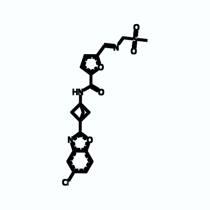 CS(=O)(=O)CN=Cc1ccc(C(=O)NC23CC(c4nc5cc(Cl)ccc5o4)(C2)C3)o1